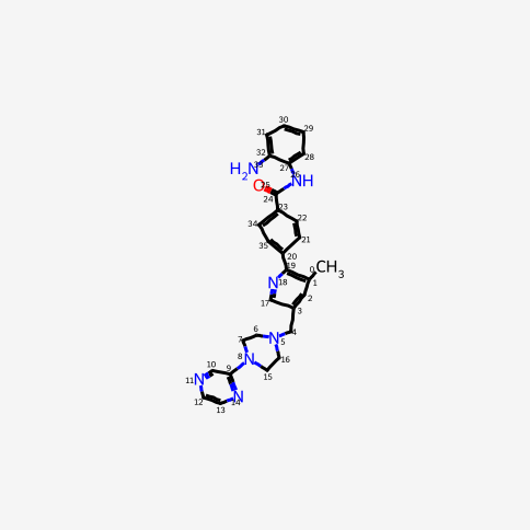 Cc1cc(CN2CCN(c3cnccn3)CC2)cnc1-c1ccc(C(=O)Nc2ccccc2N)cc1